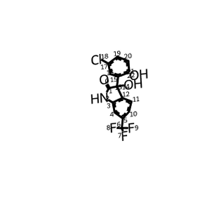 O=C1Nc2cc(C(F)(F)F)ccc2C1(O)c1cc(Cl)ccc1O